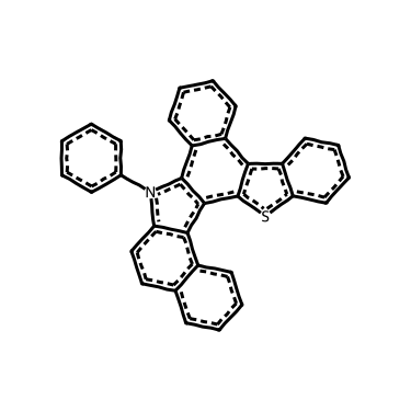 c1ccc(-n2c3ccc4ccccc4c3c3c4sc5ccccc5c4c4ccccc4c32)cc1